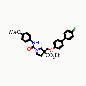 CCOC(=O)C1(COc2ccc(-c3ccc(F)cc3)cc2)CCN(C(=O)Nc2ccc(OC)cc2)C1